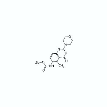 Cc1c(NC(=O)OC(C)(C)C)ccc2nc(N3CCOCC3)oc(=O)c12